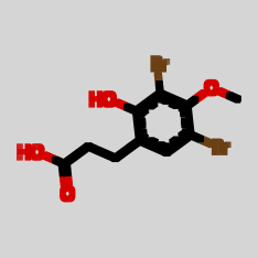 COc1c(Br)cc(CCC(=O)O)c(O)c1Br